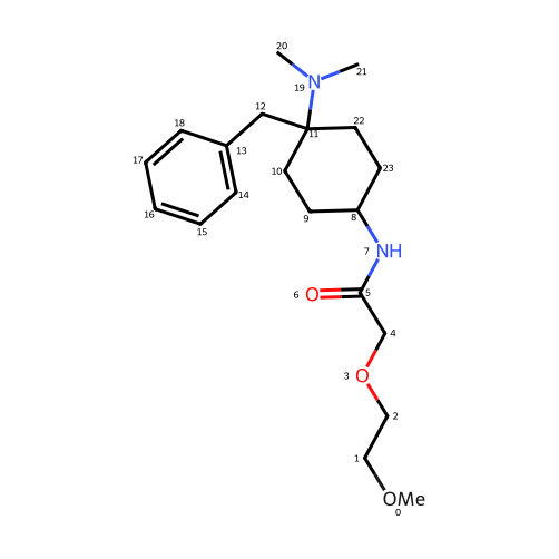 COCCOCC(=O)NC1CCC(Cc2ccccc2)(N(C)C)CC1